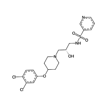 O=S(=O)(NC[C@H](O)CN1CCC(Oc2ccc(Cl)c(Cl)c2)CC1)c1cccnc1